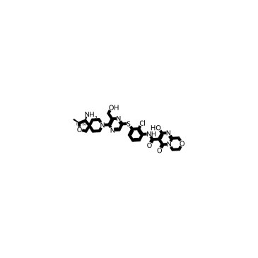 C[C@@H]1OCC2(CCN(c3ncc(Sc4cccc(NC(=O)c5c(O)nc6n(c5=O)CCOC6)c4Cl)nc3CO)CC2)[C@@H]1N